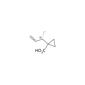 [CH2][C@@H](C=C)C1(C(=O)O)CC1